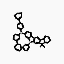 CC1(C)c2ccccc2-c2cc3c4ccc(N(c5ccc(-c6ccccc6)cc5)c5cccc(-c6ccccc6)c5)cc4n(-c4ccccc4)c3cc21